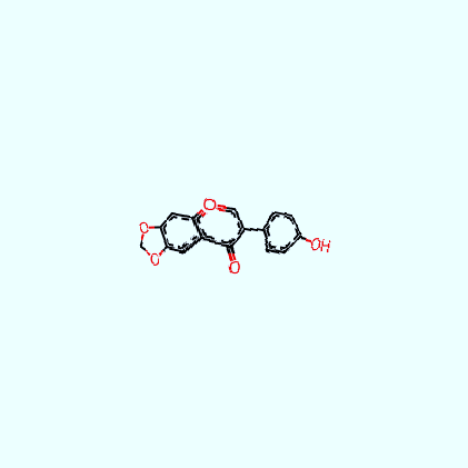 O=c1c(-c2ccc(O)cc2)coc2cc3c(cc12)OCO3